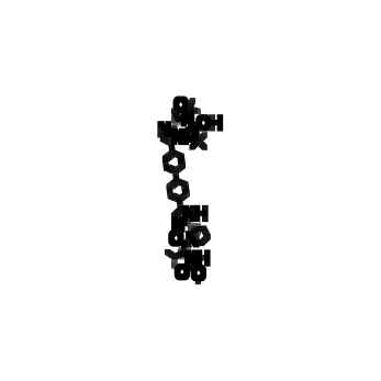 COC(=O)N[C@H](C(=O)N1CCC[C@H]1c1ncc(-c2ccc(-c3ccc(-c4cnc([C@@H]5COC(C)(C)N5C(O)OC(C)(C)C)[nH]4)cc3)cc2)[nH]1)C(C)C